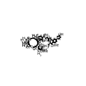 CC[C@H]1OC(=O)[C@H](C)[C@@H](C2C[C@@](C)(OC)[C@@H](O)[C@H](C)O2)[C@H](C)[C@@H](O[C@@H]2O[C@H](C)C[C@H](N(C)CCc3cn([C@H](CF)[C@H](OC)c4ccc(N5CC[C@@H](O)C5)cc4)nn3)[C@H]2O)[C@](C)(O)C[C@@H](C)CN(C)[C@H](C)[C@@H](O)[C@]1(C)O